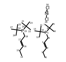 CCC=CCP(C(C)(C)C)C(C)(C)C.CCC=CCP(C(C)(C)C)C(C)(C)C.[Cl][Ni][Cl]